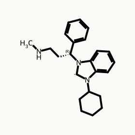 CNCC[C@H](c1ccccc1)N1[CH]N(C2CCCCC2)c2ccccc21